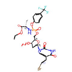 CCOC(=O)[C@H](C)NP(=O)(OC[C@H]1O[C@@H](n2cc(/C=C/Br)c(=O)[nH]c2=O)CC1O)Oc1ccc(C(F)(F)F)cc1